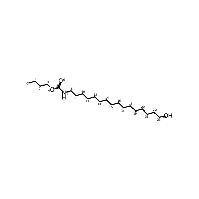 CCCCOC(=O)NCCCCCCCCCCCCCCCCO